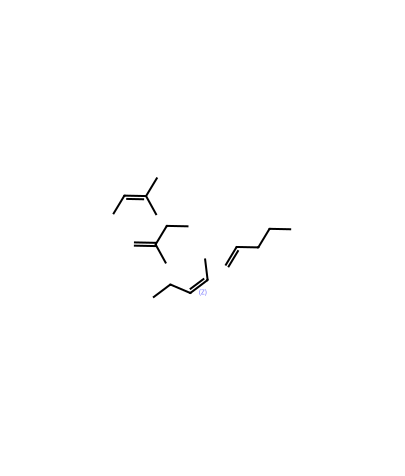 C/C=C\CC.C=C(C)CC.C=CCCC.CC=C(C)C